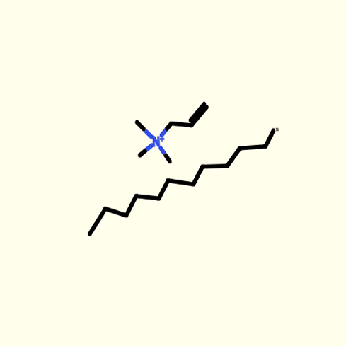 C=CC[N+](C)(C)C.[CH2]CCCCCCCCCCC